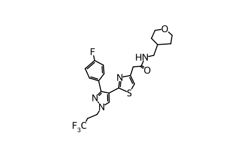 O=C(Cc1csc(-c2cn(CCC(F)(F)F)nc2-c2ccc(F)cc2)n1)NCC1CCOCC1